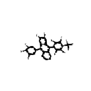 Fc1cc2c(-c3cc(F)c(F)c(F)c3)c3ccccc3c(-c3c(F)c(F)c(C(F)(F)F)c(F)c3F)c2cc1F